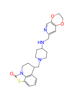 O=c1sc2cccc3c2n1CCC3CN1CCC(NCc2cc3c(cn2)OCCO3)CC1